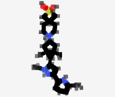 CC(C)n1nc(-c2cccc(C(F)(F)F)n2)cc1[C@H]1[C@@H]2C[C@@H](N3CCC4(CC3)CS(=O)(=O)C4)C[C@@H]21